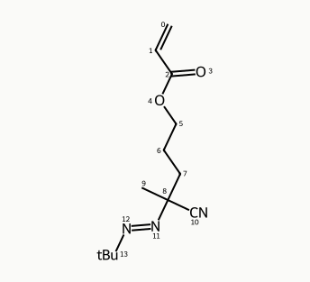 C=CC(=O)OCCCC(C)(C#N)N=NC(C)(C)C